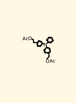 CC(=O)OCCc1ccc(N(c2ccccc2)c2ccc(CCOC(C)=O)cc2)cc1